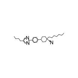 CCCCCCCC1(C#N)CCC(c2ccc(-c3ncc(CCCC)cn3)cc2)CC1